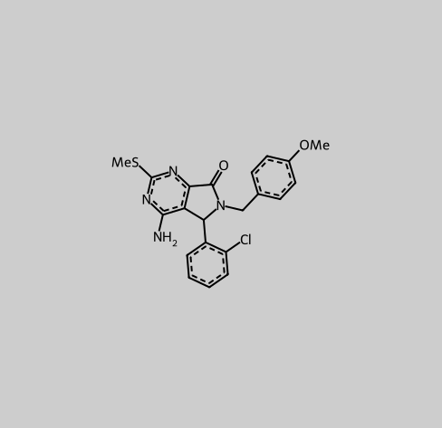 COc1ccc(CN2C(=O)c3nc(SC)nc(N)c3C2c2ccccc2Cl)cc1